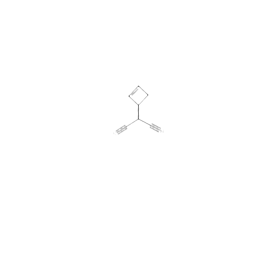 N#CC(C#N)C1C=CC1